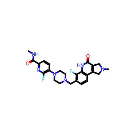 CNC(=O)c1ccc(N2CCN(Cc3ccc4c5c(c(=O)[nH]c4c3F)CN(C)C5)CC2)c(F)n1